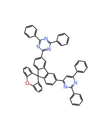 c1ccc(-c2cc(-c3ccc4c(c3)-c3cc(-c5nc(-c6ccccc6)nc(-c6ccccc6)n5)ccc3C43c4ccccc4Oc4ccccc43)nc(-c3ccccc3)n2)cc1